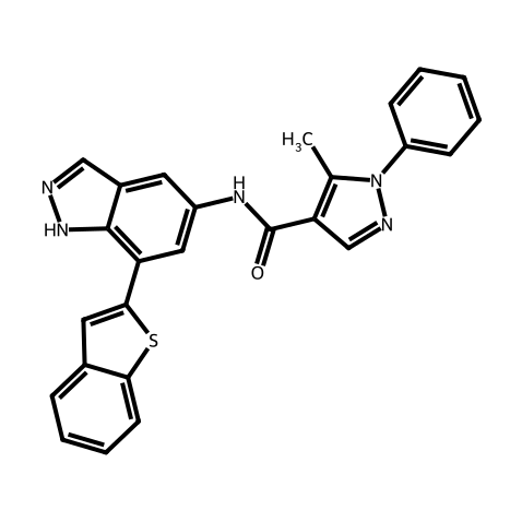 Cc1c(C(=O)Nc2cc(-c3cc4ccccc4s3)c3[nH]ncc3c2)cnn1-c1ccccc1